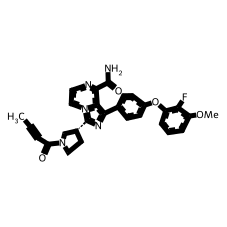 CC#CC(=O)N1CC[C@@H](c2nc(-c3ccc(Oc4cccc(OC)c4F)cc3)c3c(C(N)=O)nccn23)C1